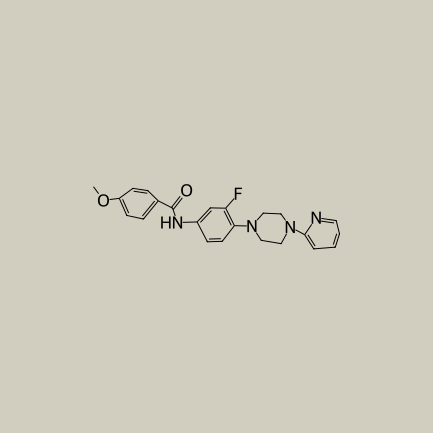 COc1ccc(C(=O)Nc2ccc(N3CCN(c4ccccn4)CC3)c(F)c2)cc1